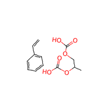 C=Cc1ccccc1.CC(COC(=O)O)OC(=O)O